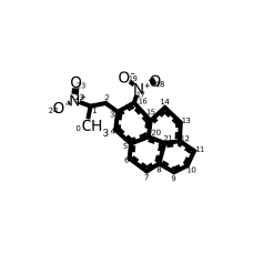 CC(Cc1cc2ccc3cccc4ccc(c1[N+](=O)[O-])c2c34)[N+](=O)[O-]